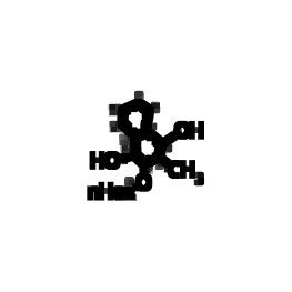 CCCCCCOc1c(C)c(O)c2ccccc2c1O